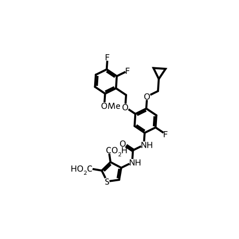 COc1ccc(F)c(F)c1COc1cc(NC(=O)Nc2csc(C(=O)O)c2C(=O)O)c(F)cc1OCC1CC1